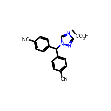 CC(=O)O.N#Cc1ccc(C(c2ccc(C#N)cc2)n2cncn2)cc1